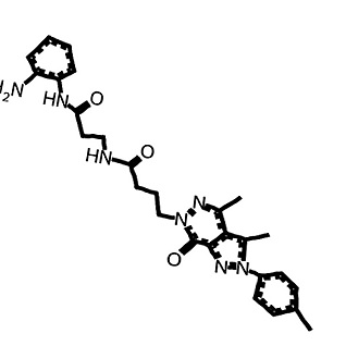 Cc1ccc(-n2nc3c(=O)n(CCCC(=O)NCCC(=O)Nc4ccccc4N)nc(C)c3c2C)cc1